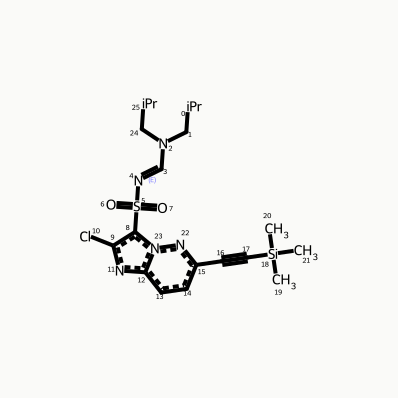 CC(C)CN(/C=N/S(=O)(=O)c1c(Cl)nc2ccc(C#C[Si](C)(C)C)nn12)CC(C)C